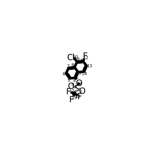 O=S(=O)(Oc1cccc2c(Cl)c(F)ccc12)C(F)(F)F